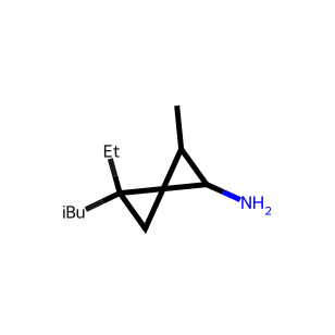 CCC(C)C1(CC)CC12C(C)C2N